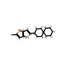 Cc1cc2sc(C3CCC4(CCCCC4)CC3)cc2s1